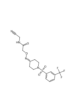 N#CCNC(=O)CON=C1CCN(S(=O)(=O)c2cccc(C(F)(F)F)c2)CC1